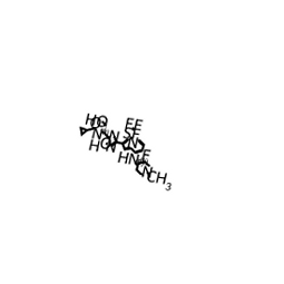 CN1CC[C@@H](Nc2cccn3c(SC(F)(F)F)c(-c4noc([C@@H](CO)NC(=O)C5CC5)n4)cc23)[C@@H](F)C1